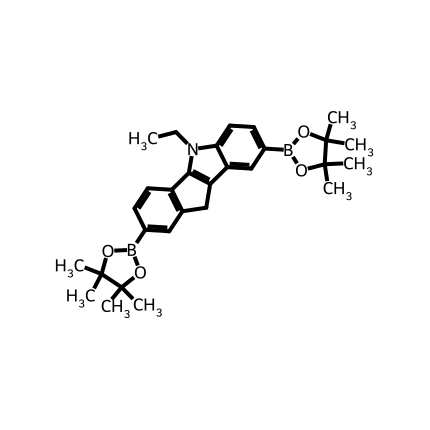 CCn1c2c(c3cc(B4OC(C)(C)C(C)(C)O4)ccc31)Cc1cc(B3OC(C)(C)C(C)(C)O3)ccc1-2